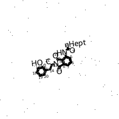 CCCCCCCC(=O)Nc1cccc2c1C(=O)N(C(Cc1ccccc1)C(=O)O)C2=O